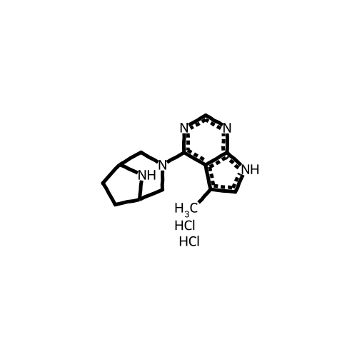 Cc1c[nH]c2ncnc(N3CC4CCC(C3)N4)c12.Cl.Cl